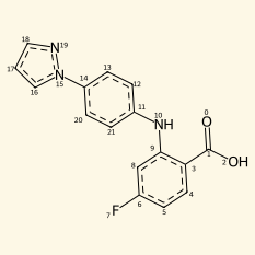 O=C(O)c1ccc(F)cc1Nc1ccc(-n2cccn2)cc1